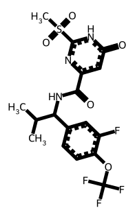 CC(C)C(NC(=O)c1cc(=O)[nH]c(S(C)(=O)=O)n1)c1ccc(OC(F)(F)F)c(F)c1